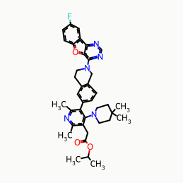 Cc1nc(C)c(-c2ccc3c(c2)CCN(c2ncnc4c2oc2ccc(F)cc24)C3)c(N2CCC(C)(C)CC2)c1CC(=O)OC(C)C